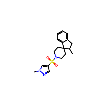 CC1Cc2ccccc2C12CCN(S(=O)(=O)c1cnn(C)c1)CC2